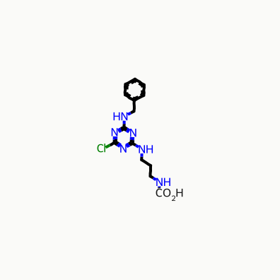 O=C(O)NCCCNc1nc(Cl)nc(NCc2ccccc2)n1